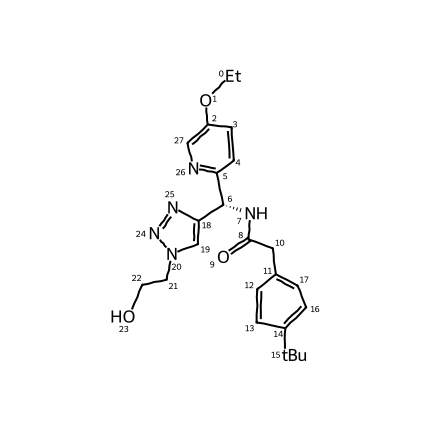 CCOc1ccc([C@H](NC(=O)Cc2ccc(C(C)(C)C)cc2)c2cn(CCO)nn2)nc1